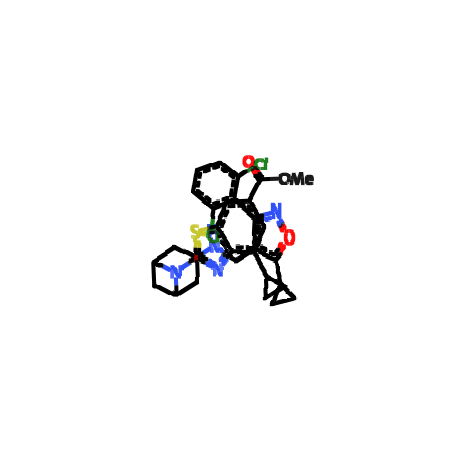 COC(=O)c1cc(C2CC2)c2nc(N3C4CC(NCc5c(-c6c(Cl)cccc6Cl)noc5C5CC5)CC3C4)sc2c1